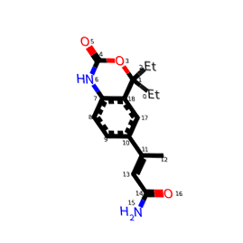 CCC1(CC)OC(=O)Nc2ccc(/C(C)=C/C(N)=O)cc21